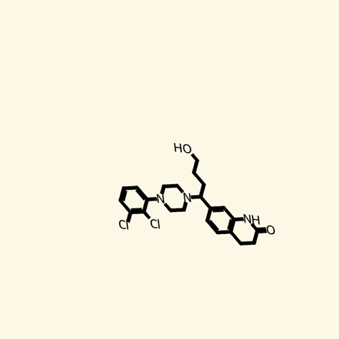 O=C1CCc2ccc(C(CCCO)N3CCN(c4cccc(Cl)c4Cl)CC3)cc2N1